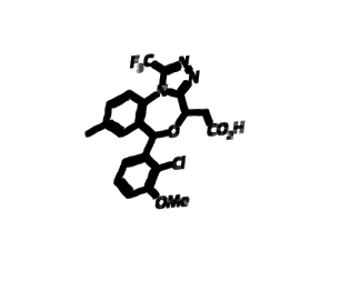 COc1cccc(C2OC(CC(=O)O)c3nnc(C(F)(F)F)n3-c3ccc(C)cc32)c1Cl